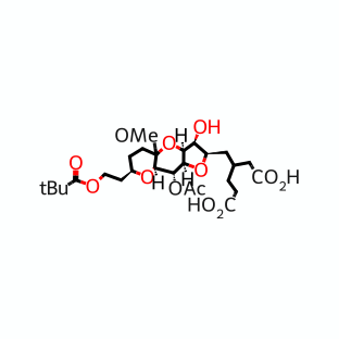 COC12CC[C@H](CCOC(=O)C(C)(C)C)O[C@@H]1[C@@H](OC(C)=O)[C@@H]1O[C@H](CC(CCC(=O)O)CC(=O)O)[C@H](O)[C@@H]1O2